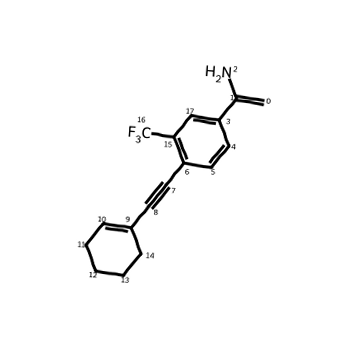 C=C(N)c1ccc(C#CC2=CCCCC2)c(C(F)(F)F)c1